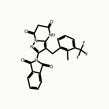 Cc1c(Cc2c(N3C(=O)c4ccccc4C3=O)nn3c2NC(=O)CC3=O)cccc1C(F)(F)F